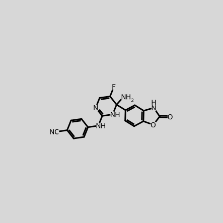 N#Cc1ccc(NC2=NC=C(F)C(N)(c3ccc4oc(=O)[nH]c4c3)N2)cc1